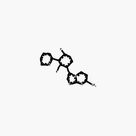 Fc1ccc(-c2cnc3nc(C(F)(F)F)ccn23)c(F)c1-c1ccccn1